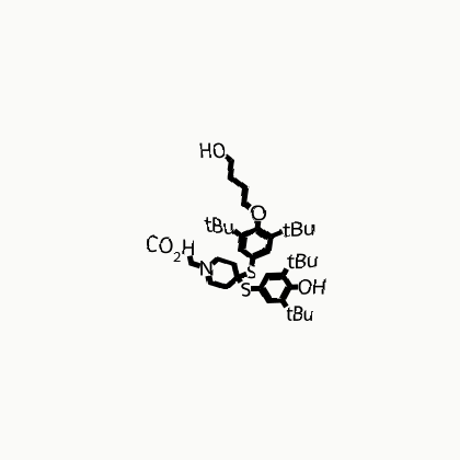 CC(C)(C)c1cc(SC2(Sc3cc(C(C)(C)C)c(OCCCCO)c(C(C)(C)C)c3)CCN(CC(=O)O)CC2)cc(C(C)(C)C)c1O